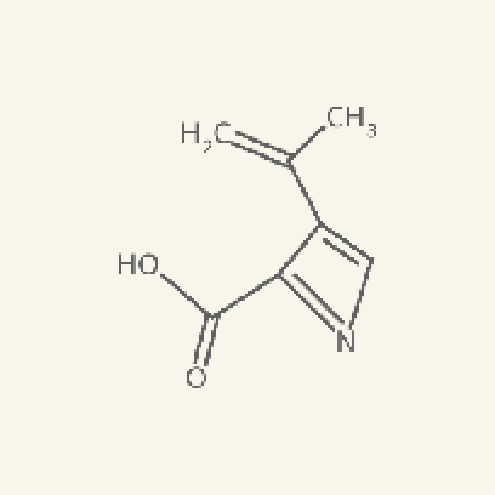 C=C(C)C1=CN=C1C(=O)O